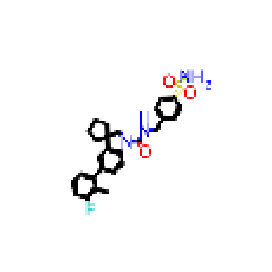 Cc1c(F)cccc1-c1ccc2c(c1)C1(CCCC1)CN2C(=O)NCc1ccc(S(N)(=O)=O)cc1